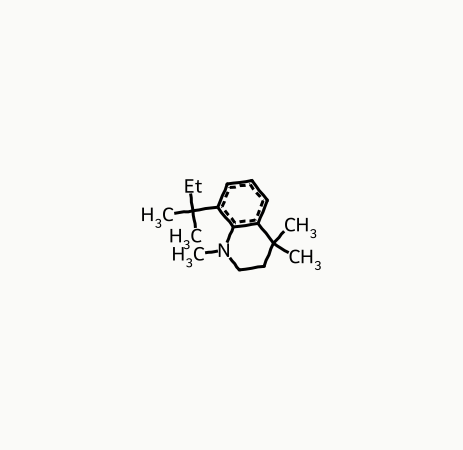 CCC(C)(C)c1cccc2c1N(C)CCC2(C)C